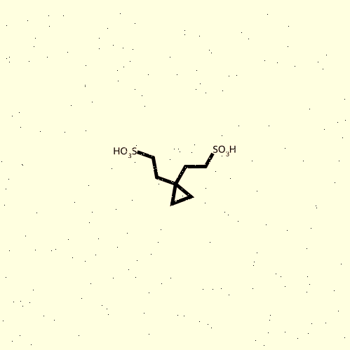 O=S(=O)(O)CCC1(CCS(=O)(=O)O)CC1